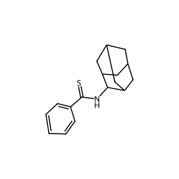 S=C(NC1C2CC3CC(C2)CC1C3)c1ccccc1